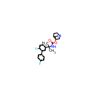 CC(C)(NC(=O)OC1CN2CCC1CC2)c1ccc(F)c(-c2ccc(F)cc2)c1